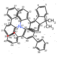 CC1(C)c2ccccc2-c2c(-c3ccccc3N(c3ccccc3-c3ccccc3)c3ccc(-c4ccccc4)cc3-c3ccccc3)cccc21